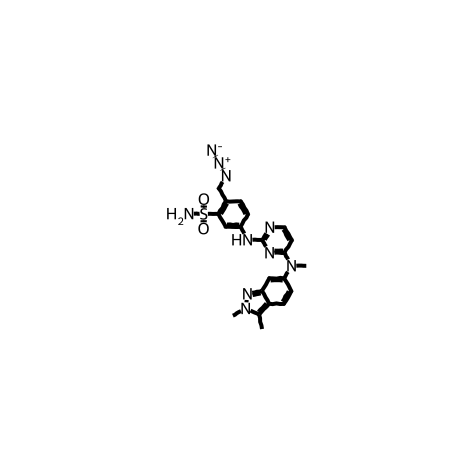 Cc1c2ccc(N(C)c3ccnc(Nc4ccc(CN=[N+]=[N-])c(S(N)(=O)=O)c4)n3)cc2nn1C